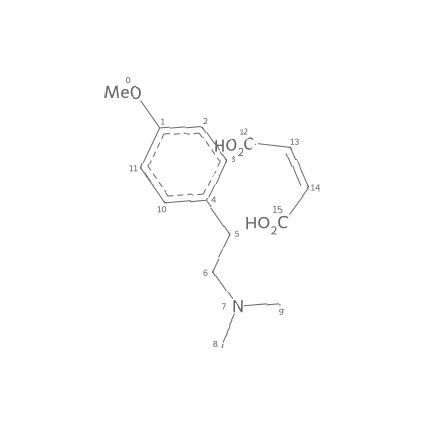 COc1ccc(CCN(C)C)cc1.O=C(O)/C=C\C(=O)O